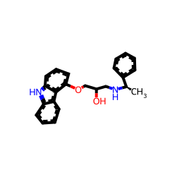 C[C@@H](NCC(O)COc1cccc2[nH]c3ccccc3c12)c1ccccc1